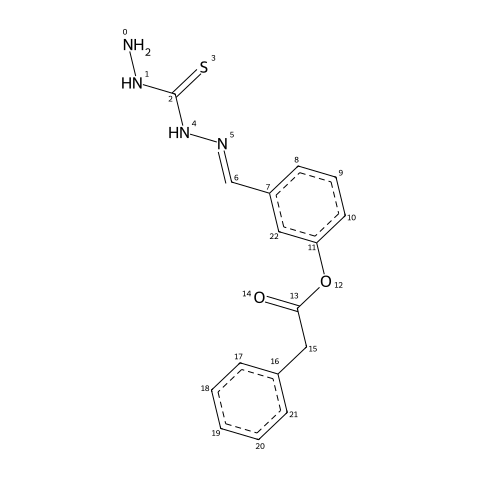 NNC(=S)NN=Cc1cccc(OC(=O)Cc2ccccc2)c1